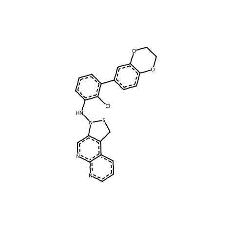 Clc1c(NN2SCc3c2cnc2ncccc32)cccc1-c1ccc2c(c1)OCCO2